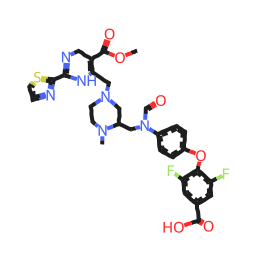 COC(=O)C1=C(CN2CCN(C)C(CN(C=O)c3ccc(Oc4c(F)cc(C(=O)O)cc4F)cc3)C2)NC(c2nccs2)=NC1